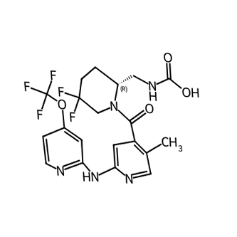 Cc1cnc(Nc2cc(OC(F)(F)F)ccn2)cc1C(=O)N1CC(F)(F)CC[C@@H]1CNC(=O)O